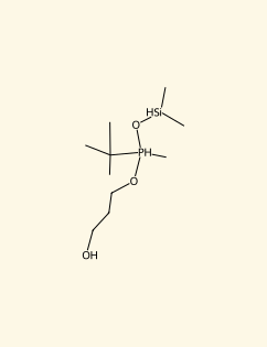 C[SiH](C)O[PH](C)(OCCCO)C(C)(C)C